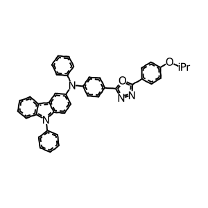 CC(C)Oc1ccc(-c2nnc(-c3ccc(N(c4ccccc4)c4ccc5c(c4)c4ccccc4n5-c4ccccc4)cc3)o2)cc1